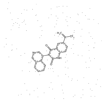 C=C(c1ccc2[nH]c(=O)n(-c3cncc4ccccc34)c(=O)c2c1)C(F)(F)F